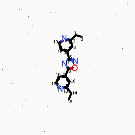 CCc1cc(-c2noc(-c3ccnc(CC)c3)n2)ccn1